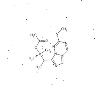 CSc1ncc2cnc(C(C)C(C)(C)OC(C)=O)n2n1